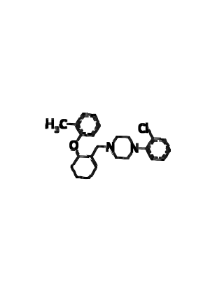 Cc1ccccc1OC1CCCCC1CN1CCN(c2ccccc2Cl)CC1